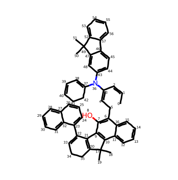 C/C=C\C(=C/Cc1c(O)c2c(c3ccccc13)C(C)(C)C1=C2C(c2cccc3ccccc23)=CCC1)N(C1=CC=CCC1)c1ccc2c(c1)C(C)(C)c1ccccc1-2